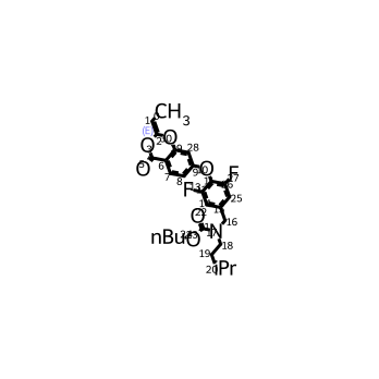 C/C=C1/OC(=O)c2ccc(Oc3c(F)cc(CN(CCC(C)C)C(=O)OCCCC)cc3F)cc2O1